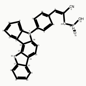 N#CC(=Cc1ccc(-n2c3ccccc3c3c4sc5ccccc5c4ccc32)cc1)O[PH](=O)O